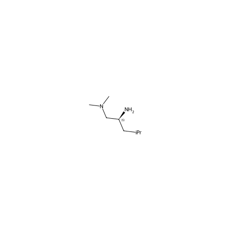 CC(C)C[C@H](N)CN(C)C